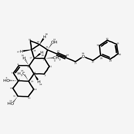 C[C@]12CC[C@H]3[C@@H](C=C[C@]4(O)C[C@@H](O)CC[C@]34C)[C@@H]1[C@@H]1C[C@@H]1[C@@]2(O)C#CCOCc1ccccc1